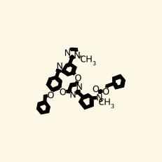 CN1CCN=C1c1cccc(Oc2cc(Oc3cc(C#N)ccc3OCc3ccccc3)nc(-c3cccc(N(C)C(=O)OCc4ccccc4)c3)n2)c1